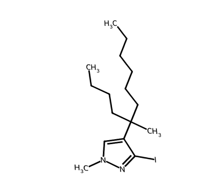 CCCCCCC(C)(CCCC)c1cn(C)nc1I